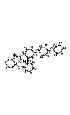 C/C1=N\c2ccccc2Cc2ccccc2-c2cc(-c3ccc(-c4ccccn4)cc3)ccc21